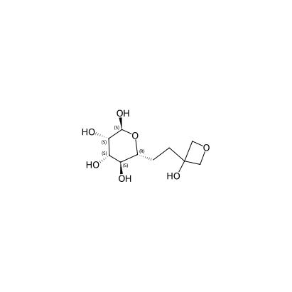 O[C@@H]1[C@H](O)[C@@H](O)O[C@H](CCC2(O)COC2)[C@H]1O